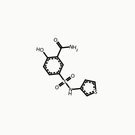 NC(=O)c1cc(S(=O)(=O)Nc2ccsc2)ccc1O